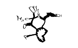 C#CC1=NC(C)(C)C(=O)c2c(F)cccc21